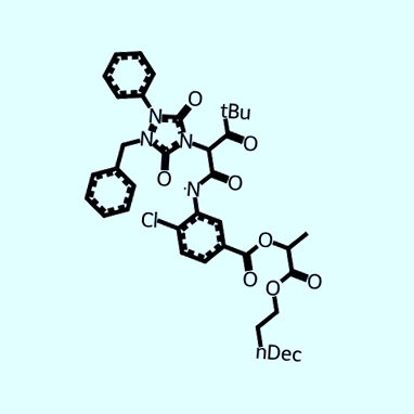 CCCCCCCCCCCCOC(=O)C(C)OC(=O)c1ccc(Cl)c([N]C(=O)C(C(=O)C(C)(C)C)n2c(=O)n(Cc3ccccc3)n(-c3ccccc3)c2=O)c1